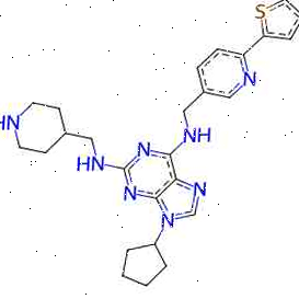 c1csc(-c2ccc(CNc3nc(NCC4CCNCC4)nc4c3ncn4C3CCCC3)cn2)c1